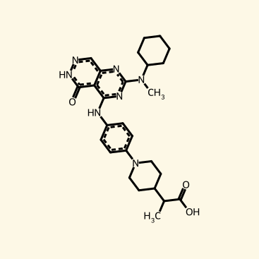 CC(C(=O)O)C1CCN(c2ccc(Nc3nc(N(C)C4CCCCC4)nc4cn[nH]c(=O)c34)cc2)CC1